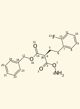 NOC(=O)[C@H](CCc1ccccc1F)C(=O)OCc1ccccc1